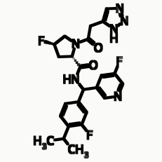 CC(C)c1ccc(C(NC(=O)[C@@H]2C[C@@H](F)CN2C(=O)Cc2cnn[nH]2)c2cncc(F)c2)cc1F